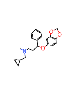 CN(CCC(Oc1ccc2c(c1)OCO2)c1ccccc1)CC1CC1